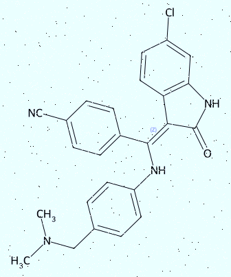 CN(C)Cc1ccc(N/C(=C2\C(=O)Nc3cc(Cl)ccc32)c2ccc(C#N)cc2)cc1